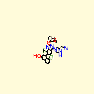 C[C@H](C=O)Oc1nc(N2CCN[C@@H](CC#N)C2)c2cc(Cl)c(-c3cc(O)cc4ccccc34)c(F)c2n1